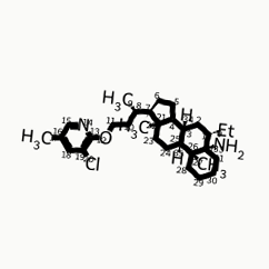 CC[C@H]1C[C@H]2C3CC[C@H]([C@H](C)CCOc4ncc(C)cc4Cl)[C@@]3(C)CC[C@@H]2[C@@]2(C)CCCC[C@@]12N